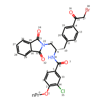 CCCOc1ccc(C(=O)N[C@@H](Cc2ccc(C(=O)CBr)cc2)CN2C(=O)c3ccccc3C2=O)cc1Cl